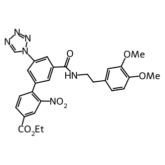 CCOC(=O)c1ccc(-c2cc(C(=O)NCCc3ccc(OC)c(OC)c3)cc(-n3cnnn3)c2)c([N+](=O)[O-])c1